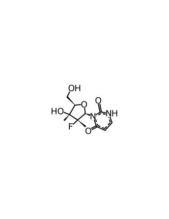 C[C@]1(F)[C@H](n2c(=O)cc[nH]c2=O)O[C@H](CO)[C@@]1(C)O